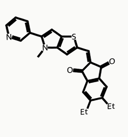 CCc1cc2c(cc1CC)C(=O)C(=Cc1cc3c(cc(-c4cccnc4)n3C)s1)C2=O